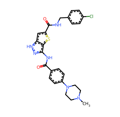 CN1CCN(c2ccc(C(=O)Nc3n[nH]c4cc(C(=O)NCc5ccc(Cl)cc5)sc34)cc2)CC1